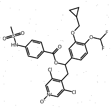 CS(=O)(=O)Nc1ccc(C(=O)OC(Cc2c(Cl)c[n+]([O-])cc2Cl)c2ccc(OC(F)F)c(OCC3CC3)c2)cc1